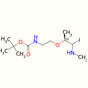 CNC(I)[C@H](C)OCCNC(=O)OC(C)(C)C